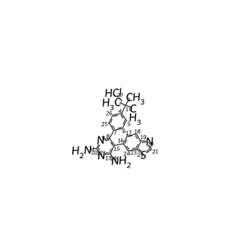 CC(C)(C)c1ccc(-c2nc(N)nc(N)c2-c2ccc3ncsc3c2)cc1.Cl